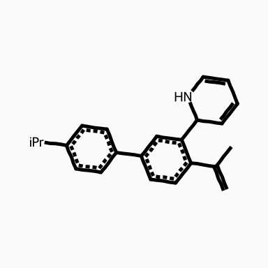 C=C(C)c1ccc(-c2ccc(C(C)C)cc2)cc1C1C=CC=CN1